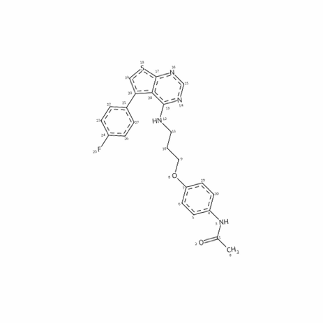 CC(=O)Nc1ccc(OCCCNc2ncnc3scc(-c4ccc(F)cc4)c23)cc1